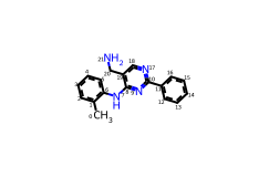 Cc1ccccc1Nc1nc(-c2ccccc2)ncc1CN